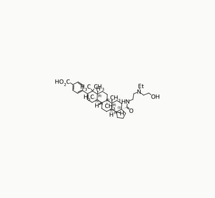 CCN(CCO)CCNC(=O)[C@]12CCC[C@@H]1[C@H]1CC[C@@H]3[C@@]4(C)CC=C(c5ccc(C(=O)O)cc5)C(C)(C)[C@@H]4CC[C@@]3(C)[C@]1(C)CC2